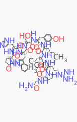 CCCC[C@H](NC(=O)[C@H](Cc1ccc(O)cc1)NC(=O)[C@H](CO)NC(=O)[C@H](Cc1c[nH]c2ccccc12)NC(=O)[C@H](Cc1cnc[nH]1)NC(=O)[C@@H]1CCC(=O)N1)C(=O)N[C@@H](CC(C)C)C(=O)N[C@@H](CCCNC(=N)N)C(=O)N1CCC[C@H]1C(=O)NCC(N)=O